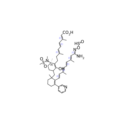 CC(/C=C/C1=C(c2cccnc2)CCCC1(C)CC1CC[C@@](C)(N(C)S(C)(=O)=O)C(CC/C(C)=C/C=C/C(C)=C/C(=O)O)=C1O)=C\C=C\C(C)=C\C(N)=N\O[SH]=O